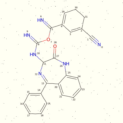 N#CC1=CC(C(=N)OC(=N)NC2N=C(c3ccccc3)c3ccccc3NC2=O)=CCC1